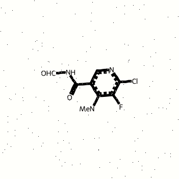 CNc1c(C(=O)NC=O)cnc(Cl)c1F